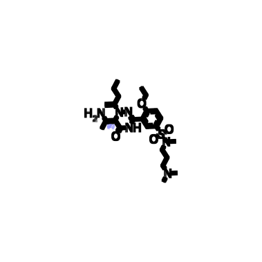 C=C(CCC)N1N=C(c2cc(S(=O)(=O)N(C)CCCN(C)C)ccc2OCC)NC(=O)/C1=C(\C)N